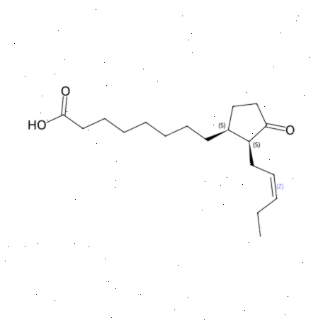 CC/C=C\C[C@@H]1C(=O)CC[C@@H]1CCCCCCCC(=O)O